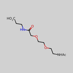 CC(=O)NCCOCCOCC(=O)NCCC(=O)O